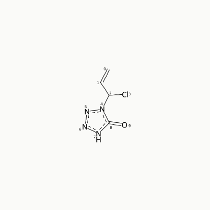 C=CC(Cl)n1nn[nH]c1=O